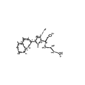 Cc1nc(-c2ccc3ccccc3c2)sc1C(=O)OCCO